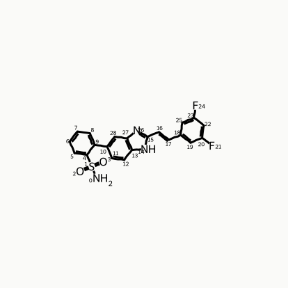 NS(=O)(=O)c1ccccc1-c1ccc2[nH]c(/C=C/c3cc(F)cc(F)c3)nc2c1